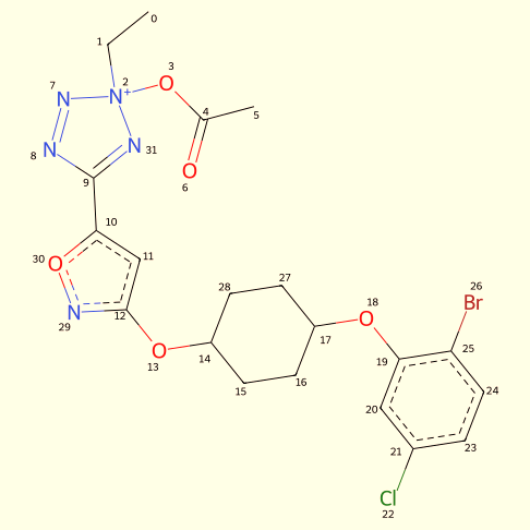 CC[N+]1(OC(C)=O)N=NC(c2cc(OC3CCC(Oc4cc(Cl)ccc4Br)CC3)no2)=N1